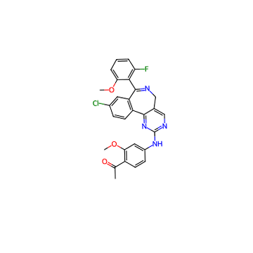 COc1cc(Nc2ncc3c(n2)-c2ccc(Cl)cc2C(c2c(F)cccc2OC)=NC3)ccc1C(C)=O